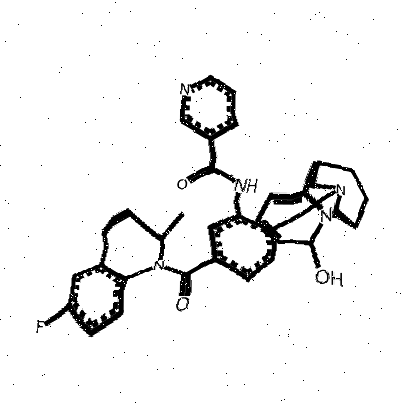 CC1CCc2cc(F)ccc2N1C(=O)c1ccc(N2CC3CCC(C2)N2C3=CC=CC2O)c(NC(=O)c2cccnc2)c1